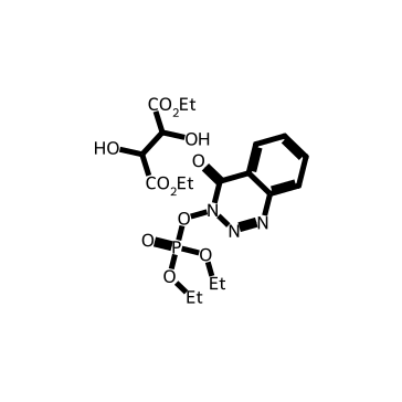 CCOC(=O)C(O)C(O)C(=O)OCC.CCOP(=O)(OCC)On1nnc2ccccc2c1=O